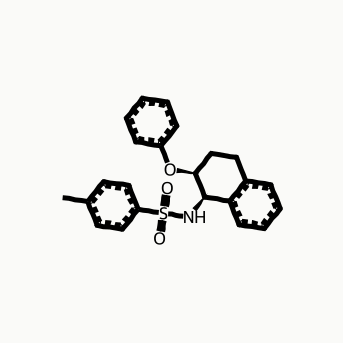 Cc1ccc(S(=O)(=O)N[C@@H]2c3ccccc3CC[C@@H]2Oc2ccccc2)cc1